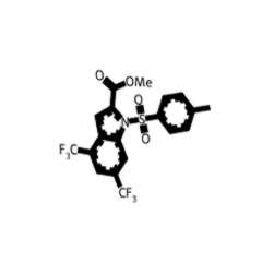 COC(=O)c1cc2c(C(F)(F)F)cc(C(F)(F)F)cc2n1S(=O)(=O)c1ccc(C)cc1